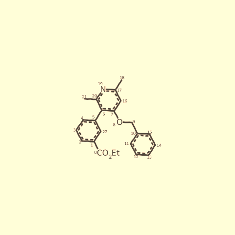 CCOC(=O)c1cccc(-c2c(OCc3ccccc3)cc(C)nc2C)c1